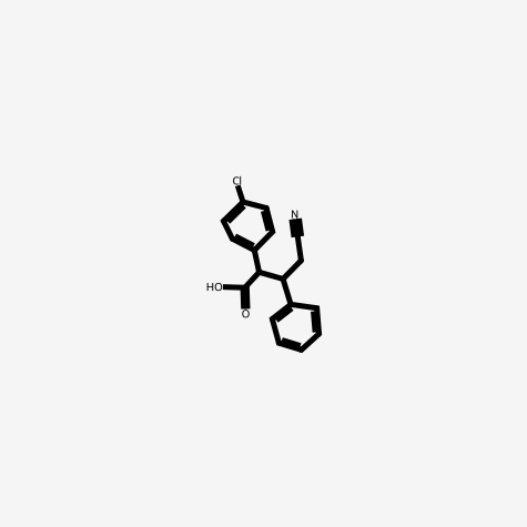 N#CCC(c1ccccc1)C(C(=O)O)c1ccc(Cl)cc1